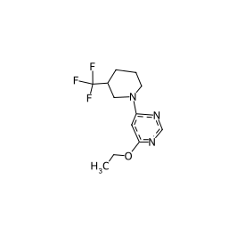 CCOc1cc(N2CCCC(C(F)(F)F)C2)ncn1